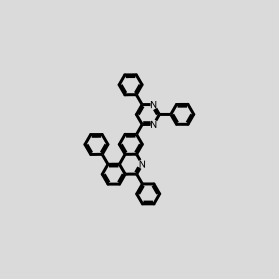 c1ccc(-c2cc(-c3ccc4c(c3)nc(-c3ccccc3)c3cccc(-c5ccccc5)c34)nc(-c3ccccc3)n2)cc1